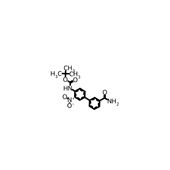 CC(C)(C)OC(=O)Nc1ccc(-c2cccc(C(N)=O)c2)cc1[N+](=O)[O-]